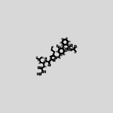 CCCc1cc(C(=O)NC(CC(=O)NO)CC(C)C)nn1Cc1ccc(-c2ccccc2S(=O)(=O)NC(C)=O)c(F)c1